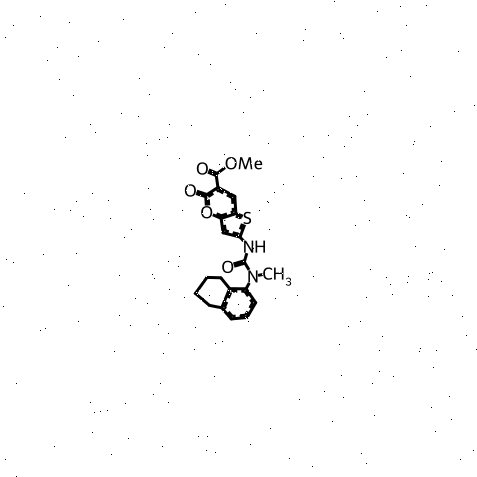 COC(=O)c1cc2sc(NC(=O)N(C)c3cccc4c3CCCC4)cc2oc1=O